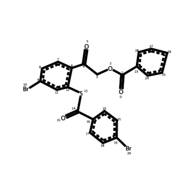 O=C(OCC(=O)c1ccc(Br)cc1SC(=O)c1ccc(Br)cc1)c1ccccc1